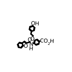 O=C(O)c1ccc(NC(=O)c2cc3ccccc3o2)c(OCCc2ccc(O)cc2)c1